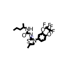 CCCC(C)NC(=O)/N=c1\sc(C)cn1-c1ccc2c(c1)OC(F)(F)C(F)(F)O2